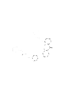 Cc1cc(OCCN(C)C)c2oc3cc(Sc4ccc(CCC(=O)NC5CCCC5)nc4)ccc3c(=O)c2c1